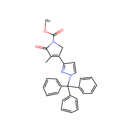 CC1=C(c2ccn(C(c3ccccc3)(c3ccccc3)c3ccccc3)n2)CN(C(=O)OC(C)(C)C)C1=O